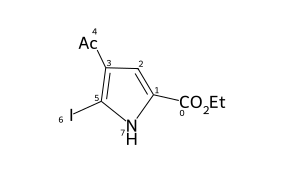 CCOC(=O)c1cc(C(C)=O)c(I)[nH]1